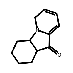 O=C1C2=CC=CCN2C2CCCCC12